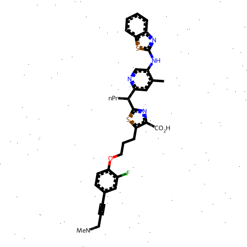 CCCC(c1cc(C)c(Nc2nc3ccccc3s2)cn1)c1nc(C(=O)O)c(CCCOc2ccc(C#CCNC)cc2F)s1